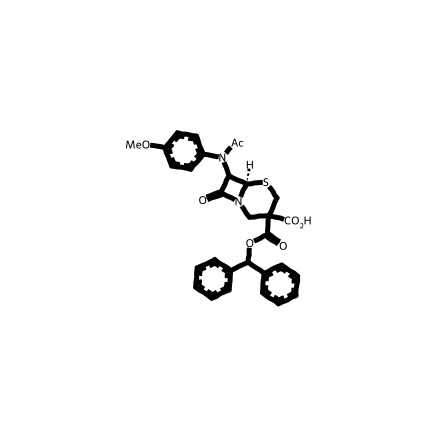 COc1ccc(N(C(C)=O)C2C(=O)N3CC(C(=O)O)(C(=O)OC(c4ccccc4)c4ccccc4)CS[C@H]23)cc1